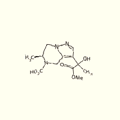 COC(=O)C(C)(O)c1cnn2c1CN(C(=O)O)[C@@H](C)C2